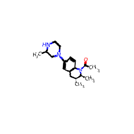 CC(=O)N1c2ccc(N3CCNC(C)C3)cc2C[C@@H](C)[C@@H]1C